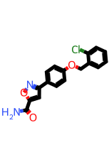 NC(=O)c1cc(-c2ccc(OCc3ccccc3Cl)cc2)no1